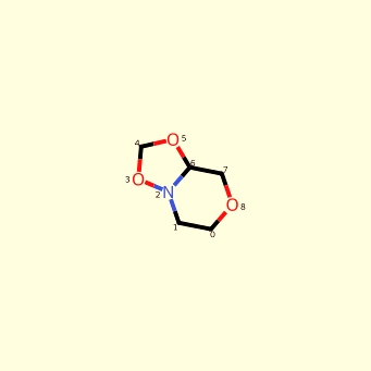 C1CN2OCOC2CO1